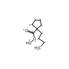 CCCCC1(C(=O)OO)CCCC1